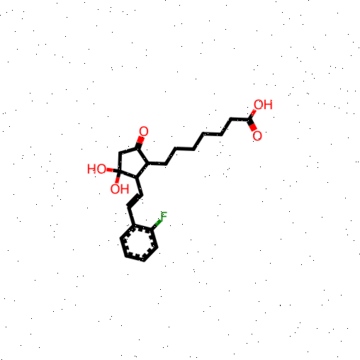 O=C(O)CCCCCCC1C(=O)CC(O)(O)C1C=Cc1ccccc1F